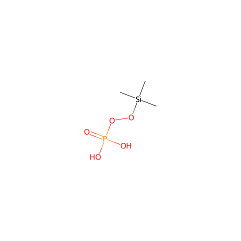 C[Si](C)(C)OOP(=O)(O)O